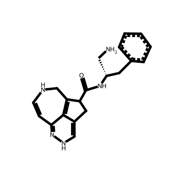 NC[C@H](Cc1ccccc1)NC(=O)C1CC2=CNN=C3C=CNCC1=C23